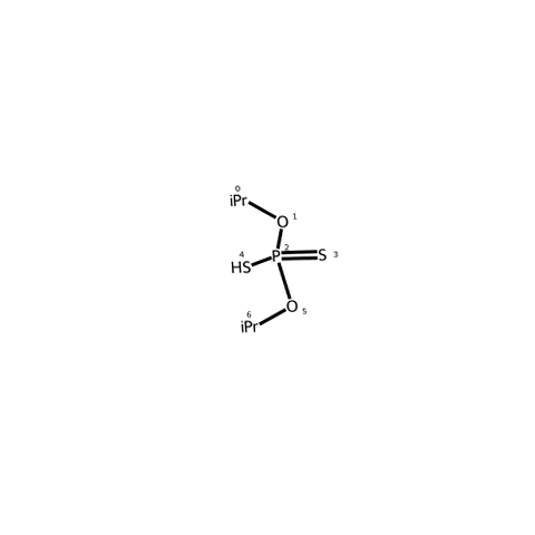 CC(C)OP(=S)(S)OC(C)C